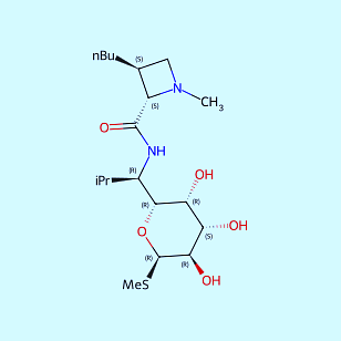 CCCC[C@H]1CN(C)[C@@H]1C(=O)N[C@H](C(C)C)[C@H]1O[C@H](SC)[C@H](O)[C@@H](O)[C@H]1O